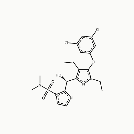 CCc1c([C@H](O)c2nccn2S(=O)(=O)N(C)C)nn(CC)c1Oc1cc(Cl)cc(Cl)c1